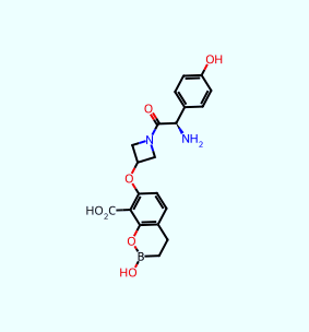 N[C@@H](C(=O)N1CC(Oc2ccc3c(c2C(=O)O)OB(O)CC3)C1)c1ccc(O)cc1